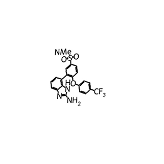 CNS(=O)(=O)c1ccc(Oc2ccc(C(F)(F)F)cc2)c(-c2cccc3nc(N)[nH]c23)c1